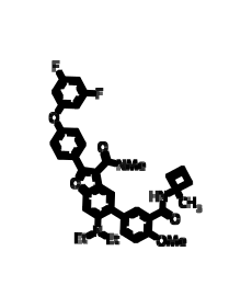 CCN(CC)c1cc2oc(-c3ccc(Oc4cc(F)cc(F)c4)cc3)c(C(=O)NC)c2cc1-c1ccc(OC)c(C(=O)NC2(C)C=CC2)c1